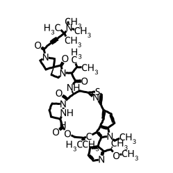 CCn1c(-c2cccnc2[C@H](C)OC)c2c3cc(ccc31)-c1csc(n1)C[C@H](NC(=O)C(C(C)C)N1CC[C@]3(CCN(C(=O)C#CC(C)(C)N(C)C)C3)C1=O)C(=O)N1CCC[C@H](N1)C(=O)OCC(C)(C)C2